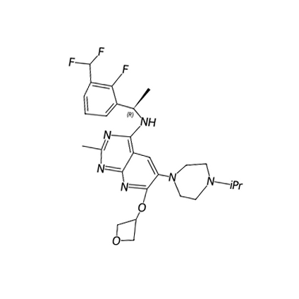 Cc1nc(N[C@H](C)c2cccc(C(F)F)c2F)c2cc(N3CCN(C(C)C)CC3)c(OC3COC3)nc2n1